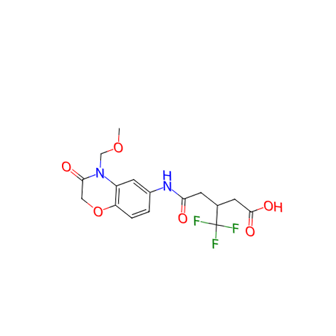 COCN1C(=O)COc2ccc(NC(=O)CC(CC(=O)O)C(F)(F)F)cc21